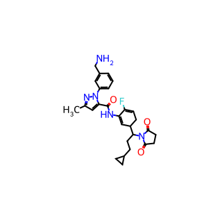 Cc1cc(C(=O)NC2=CC(C(CCC3CC3)N3C(=O)CCC3=O)CC=C2F)n(-c2cccc(CN)c2)n1